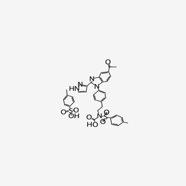 CC(=O)c1ccc2c(c1)nc(-c1cc[nH]n1)n2-c1ccc(CCN(C(=O)O)S(=O)(=O)c2ccc(C)cc2)cc1.Cc1ccc(S(=O)(=O)O)cc1